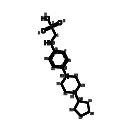 O=S(=O)(O)[CH]Nc1ccc(N2CCN(C3CCCC3)CC2)cc1